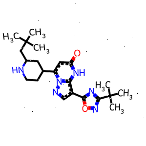 CC(C)(C)CC1CC(c2cc(=O)[nH]c3c(-c4nc(C(C)(C)C)no4)cnn23)CCN1